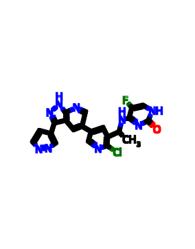 CC(Nc1nc(=O)[nH]cc1F)c1cc(-c2cnc3[nH]nc(-c4ccnnc4)c3c2)cnc1Cl